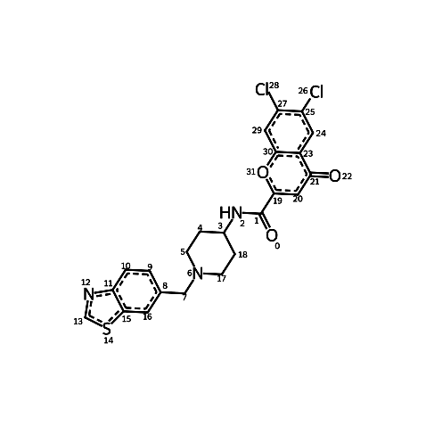 O=C(NC1CCN(Cc2ccc3ncsc3c2)CC1)c1cc(=O)c2cc(Cl)c(Cl)cc2o1